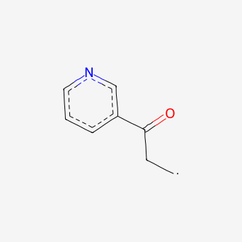 [CH2]CC(=O)c1cccnc1